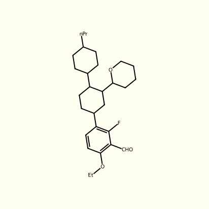 CCCC1CCC(C2CCC(c3ccc(OCC)c(C=O)c3F)CC2C2CCCCO2)CC1